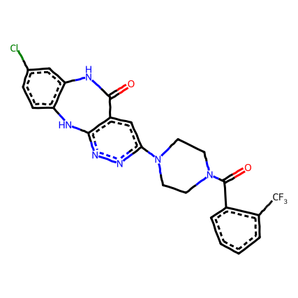 O=C1Nc2cc(Cl)ccc2Nc2nnc(N3CCN(C(=O)c4ccccc4C(F)(F)F)CC3)cc21